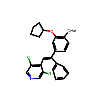 COc1ccc(C(=Cc2c(Cl)cncc2Cl)c2ccccc2)cc1OC1CCCC1